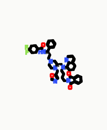 O=C(N[C@@H](CCN1CCN(Cc2cnco2)[C@@H](CN(CCCCN2C(=O)c3ccccc3C2=O)[C@H]2CCCc3cccnc32)C1)c1ccccc1)C1CCC(F)(F)CC1